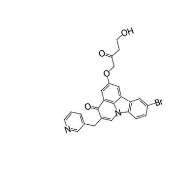 O=C(CCO)COc1cc2c(=O)c(Cc3cccnc3)cn3c4ccc(Br)cc4c(c1)c23